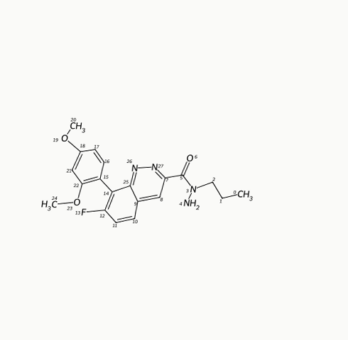 CCCN(N)C(=O)c1cc2ccc(F)c(-c3ccc(OC)cc3OC)c2nn1